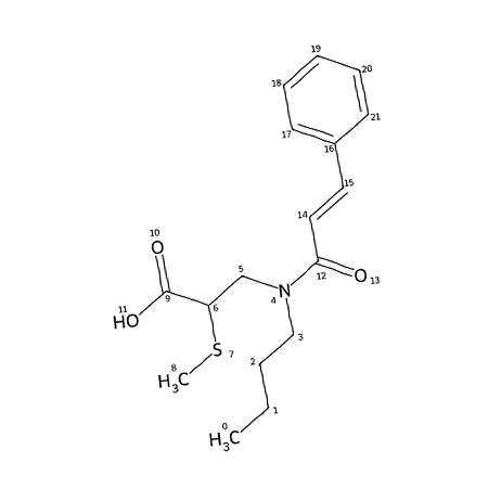 CCCCN(CC(SC)C(=O)O)C(=O)C=Cc1ccccc1